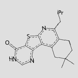 CC(C)Cc1nc2sc3c(=O)[nH]cnc3c2c2c1CCC(C)(C)C2